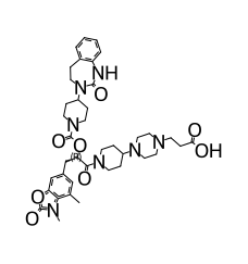 Cc1cc(C[C@@H](OC(=O)N2CCC(N3CCc4ccccc4NC3=O)CC2)C(=O)N2CCC(N3CCN(CCC(=O)O)CC3)CC2)cc2oc(=O)n(C)c12